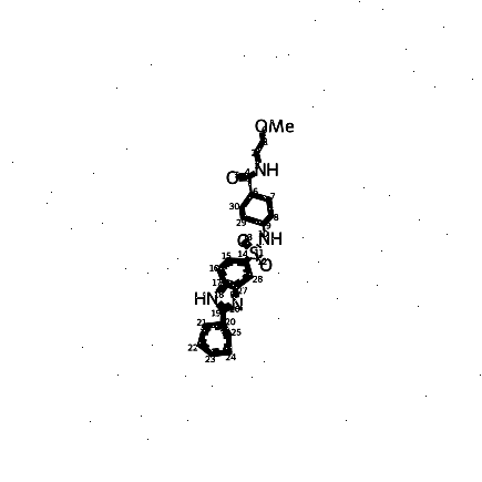 COCCNC(=O)[C@H]1CC[C@H](NS(=O)(=O)c2ccc3[nH]c(-c4ccccc4)nc3c2)CC1